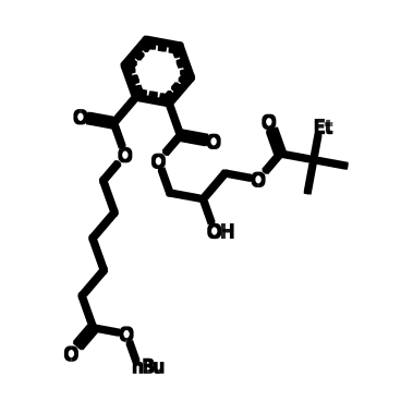 CCCCOC(=O)CCCCCOC(=O)c1ccccc1C(=O)OCC(O)COC(=O)C(C)(C)CC